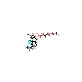 CCC1CC(C)(OCOCCOC)CC1(F)C(C)(F)F